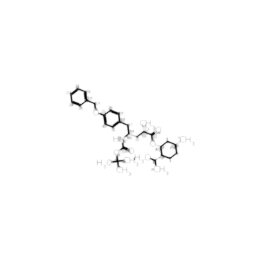 CC(C)[C@@H]1CC[C@@H](C)C[C@H]1OC(=O)[C@@H](C)C[C@H](Cc1ccc(OCc2ccccc2)cc1)NC(=O)OC(C)(C)C